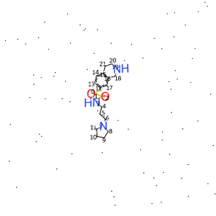 O=S(=O)(NCCCN1CCCC1)c1ccc2c(c1)CNCC2